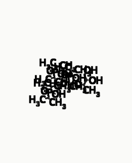 CC(C)P(=O)(O)C(C)C.CC(C)P(=O)(O)C(C)C.CC(C)P(=O)(O)C(C)C.CC(O)C(O)CO